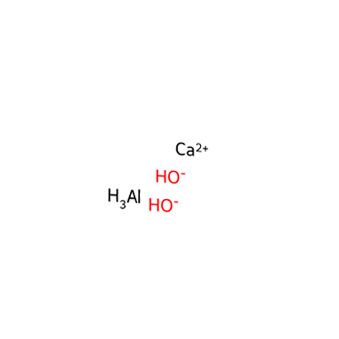 [AlH3].[Ca+2].[OH-].[OH-]